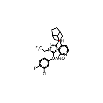 COc1cc(N2CC3CCC(C2)C3Nc2nc(Oc3ccc(F)c(Cl)c3)n(CC(F)(F)F)n2)ccn1